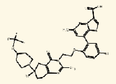 [2H][C@]1(N2CCC(OC(F)(F)F)CC2)CCc2nc(C)n(CCOc3ccc(Cl)cc3-c3cc(C)nc4c(C(=O)O)csc34)c(=O)c2C1